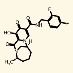 C[C@@H]1CCC[C@H]2CN1C(=O)c1c(O)c(=O)c(C(=O)NCc3ccc(F)cc3F)cn12